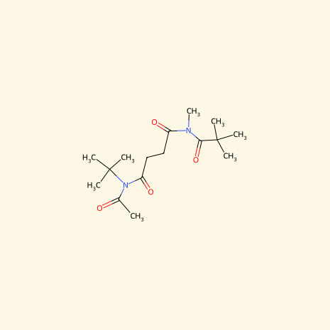 CC(=O)N(C(=O)CCC(=O)N(C)C(=O)C(C)(C)C)C(C)(C)C